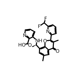 Cc1cc([C@@H](C)Nc2cccnc2C(=O)O)c2oc(-c3cccc(C(F)F)n3)c(C)c(=O)c2c1